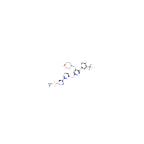 CC1(O)CCC(Nc2cc(Nc3ccnc(-c4cnn(S(=O)(=O)C5CC5)c4)n3)ncc2-c2cc(C(C)(C)O)ccn2)CC1